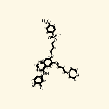 Cc1ccc(S(=O)(=O)OCCCOc2cc3ncnc(Nc4ccc(F)c(Cl)c4)c3cc2OCCCN2CCOCC2)cc1